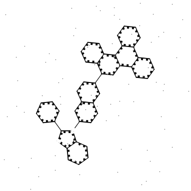 c1ccc(-c2nc3ccccc3n2-c2ccc3cc(-c4cc5c6ccccc6c6ccccc6c5c5ccccc45)ccc3c2)cc1